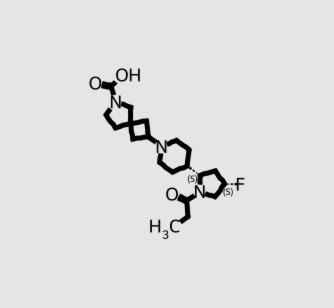 CCC(=O)N1C[C@@H](F)C[C@H]1C1CCN(C2CC3(CCN(C(=O)O)C3)C2)CC1